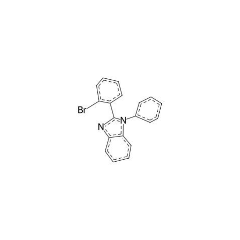 Brc1ccccc1-c1nc2ccccc2n1-c1ccccc1